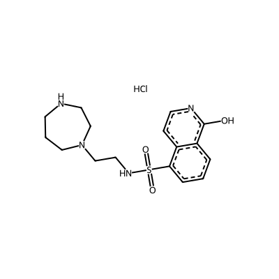 Cl.O=S(=O)(NCCN1CCCNCC1)c1cccc2c(O)nccc12